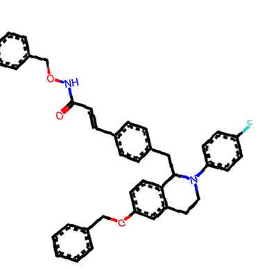 O=C(C=Cc1ccc(CC2c3ccc(OCc4ccccc4)cc3CCN2c2ccc(F)cc2)cc1)NOCc1ccccc1